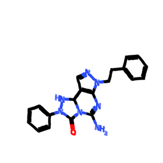 NC1=Nc2c(cnn2CCc2ccccc2)C2NN(c3ccccc3)C(=O)N12